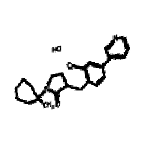 CC1(N2CCC(Cc3ccc(-c4cccnc4)cc3Cl)C2=O)CCCCC1.Cl